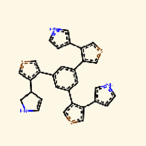 C1=CC(c2cscc2-c2cc(-c3cscc3-c3cc[nH]c3)cc(-c3cscc3-c3cc[nH]c3)c2)CN1